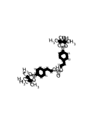 CC1(C)OB(C2=CCC(CCO[PH](=O)OCCC3CC=C(B4OC(C)(C)C(C)(C)O4)CC3)CC2)OC1(C)C